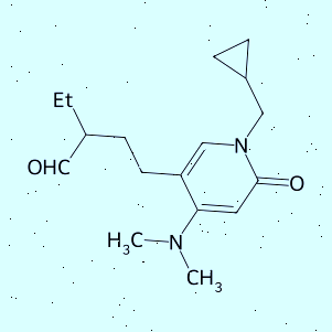 CCC(C=O)CCc1cn(CC2CC2)c(=O)cc1N(C)C